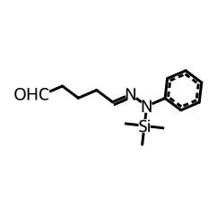 C[Si](C)(C)N(N=CCCCC=O)c1ccccc1